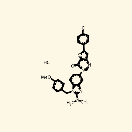 COc1ccc(Cn2c(N(C)C)nc3cc(-n4cnc5cc(-c6ccc(Cl)cc6)sc5c4=O)ccc32)cc1.Cl